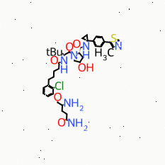 Cc1ncsc1-c1ccc(C2(NC(=O)[C@@H]3C[C@@H](O)CN3C(=O)C(NC(=O)CCCCc3cccc(OCC(N)CCC(N)=O)c3Cl)C(C)(C)C)CC2)cc1